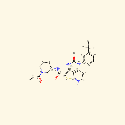 C=CC(=O)N1CCC[C@@H](NC(=O)c2sc3nccc4c3c2NC(=O)N4c2cccc(C(C)(C)C)c2)C1